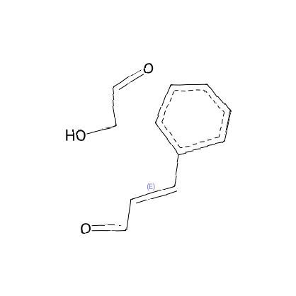 O=C/C=C/c1ccccc1.O=CCO